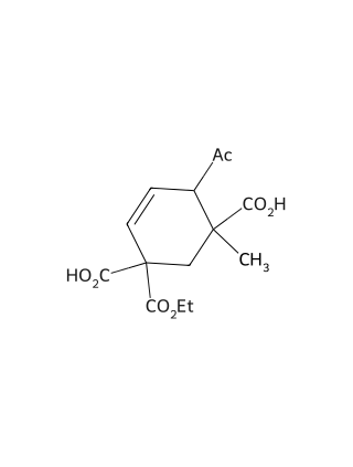 CCOC(=O)C1(C(=O)O)C=CC(C(C)=O)C(C)(C(=O)O)C1